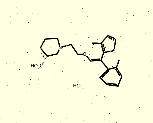 Cc1ccccc1C(=COCCN1CCC[C@@H](C(=O)O)C1)c1sccc1C.Cl